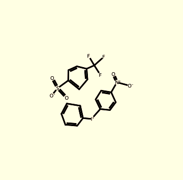 O=S(=O)([O-])c1ccc(C(F)(F)F)cc1.O=[N+]([O-])c1ccc([I+]c2ccccc2)cc1